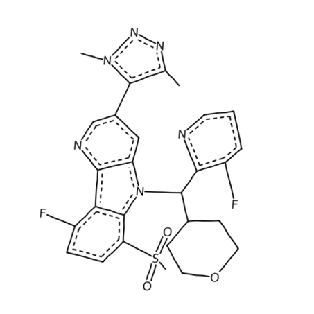 Cc1nnn(C)c1-c1cnc2c3c(F)ccc(S(C)(=O)=O)c3n(C(c3ncccc3F)C3CCOCC3)c2c1